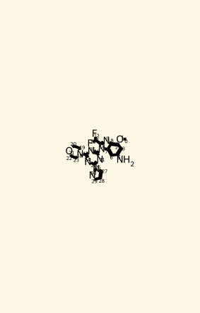 COc1cc(N)cc2c1nc(C(F)F)n2-c1nc(N2CCOCC2)nc(-n2cccn2)n1